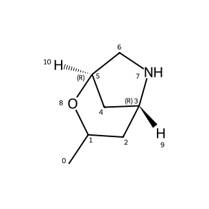 CC1C[C@@H]2C[C@H](CN2)O1